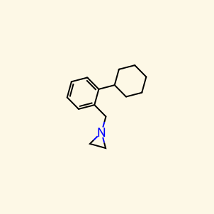 c1ccc(C2CCCCC2)c(CN2CC2)c1